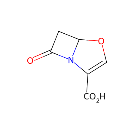 O=C(O)C1=COC2CC(=O)N12